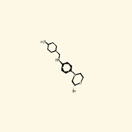 CC(C)[C@@H]1CN(c2ccc(NCC3CCC(N)CC3)cc2)CCO1